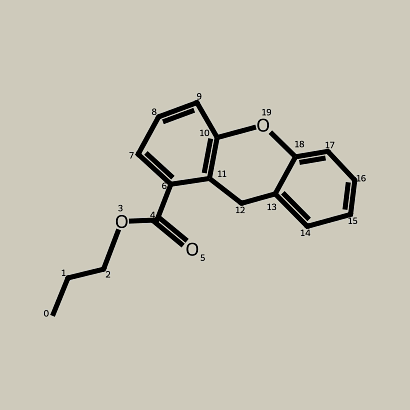 CCCOC(=O)c1cccc2c1Cc1ccccc1O2